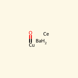 [BaH2].[Ce].[O]=[Cu]